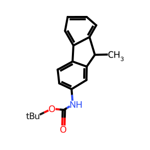 CC1c2ccccc2-c2ccc(NC(=O)OC(C)(C)C)cc21